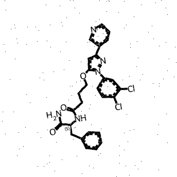 NC(=O)[C@H](Cc1ccccc1)NC(=O)CCCOc1cc(-c2cccnc2)nn1-c1ccc(Cl)c(Cl)c1